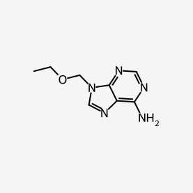 CCOCn1cnc2c(N)ncnc21